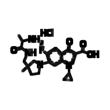 CC(N)C(=O)NCC1(C)CCN(c2cc3c(cc2F)c(=O)c(C(=O)O)cn3C2CC2)C1.Cl